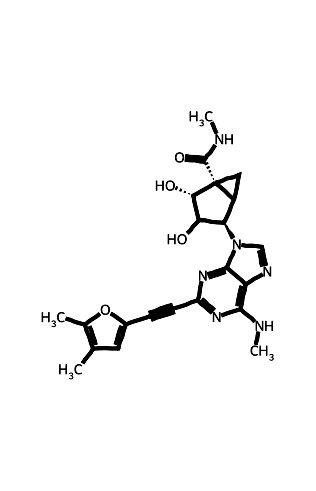 CNC(=O)[C@]12CC1[C@@H](n1cnc3c(NC)nc(C#Cc4cc(C)c(C)o4)nc31)C(O)[C@@H]2O